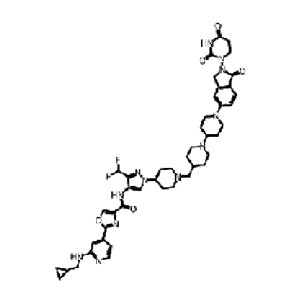 O=C1CCN(N2Cc3cc(N4CCC(N5CCC(CN6CCC(n7cc(NC(=O)c8coc(-c9ccnc(NCC%10CC%10)c9)n8)c(C(F)F)n7)CC6)CC5)CC4)ccc3C2=O)C(=O)N1